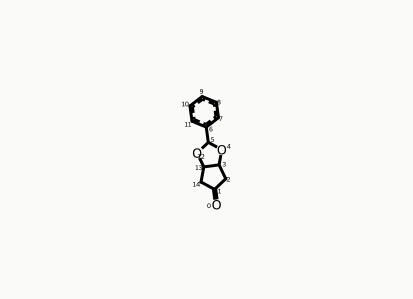 O=C1CC2OC(c3ccccc3)OC2C1